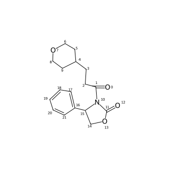 O=C(CCC1CCOCC1)N1C(=O)OCC1c1ccccc1